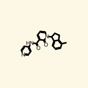 Cc1cccc2c1CCC2n1cccc(C(=O)Nc2ccncc2)c1=O